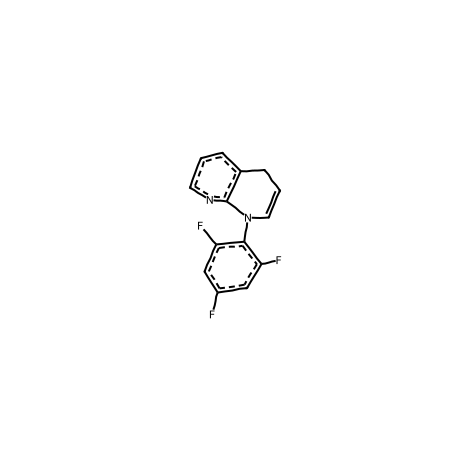 Fc1cc(F)c(N2C=CCc3cccnc32)c(F)c1